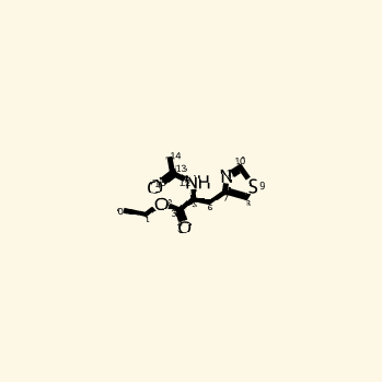 CCOC(=O)C(Cc1cscn1)NC(C)=O